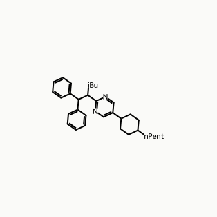 CCCCCC1CCC(c2cnc(C(C(C)CC)C(c3ccccc3)c3ccccc3)nc2)CC1